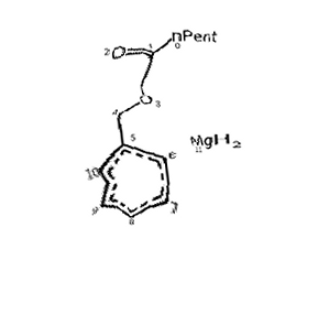 CCCCCC(=O)OCc1ccccc1.[MgH2]